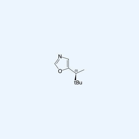 C[C@H](c1cnco1)C(C)(C)C